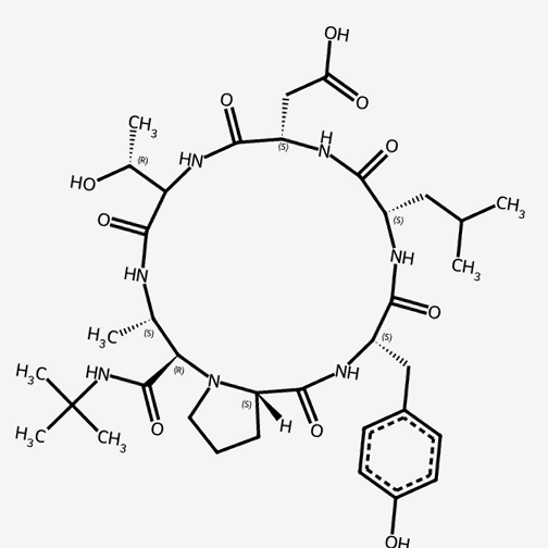 CC(C)C[C@@H]1NC(=O)[C@H](Cc2ccc(O)cc2)NC(=O)[C@@H]2CCCN2[C@@H](C(=O)NC(C)(C)C)[C@H](C)NC(=O)C([C@@H](C)O)NC(=O)[C@H](CC(=O)O)NC1=O